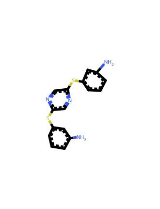 Nc1cccc(Sc2cnc(Sc3cccc(N)c3)cn2)c1